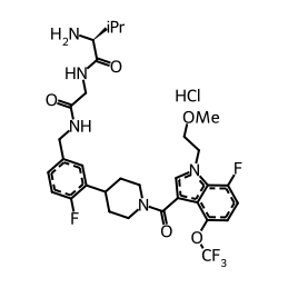 COCCn1cc(C(=O)N2CCC(c3cc(CNC(=O)CNC(=O)[C@@H](N)C(C)C)ccc3F)CC2)c2c(OC(F)(F)F)ccc(F)c21.Cl